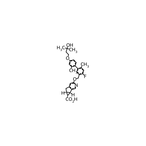 Cc1cc(OCCC(C)(C)O)ccc1-c1cc(COc2cc3c(cn2)[C@H]2[C@@H](C3)[C@@H]2C(=O)O)c(F)cc1C